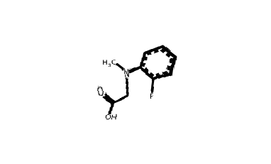 CN(CC(=O)O)c1ccccc1F